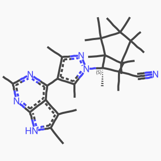 Cc1nc(-c2c(C)nn([C@](C)(C(C)(C)C#N)C3(C)C(C)(C)C(C)(C)C(C)(C)C3(C)C)c2C)c2c(C)c(C)[nH]c2n1